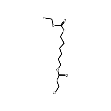 O=C(OCCl)OCCCCCCOC(=O)OCCl